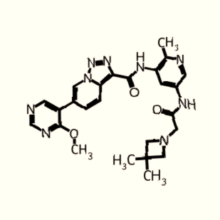 COc1ncncc1-c1ccc2c(C(=O)Nc3cc(NC(=O)CN4CC(C)(C)C4)cnc3C)nnn2c1